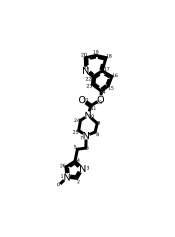 Cn1cnc(CCN2CCN(C(=O)Oc3ccc4cccnc4c3)CC2)c1